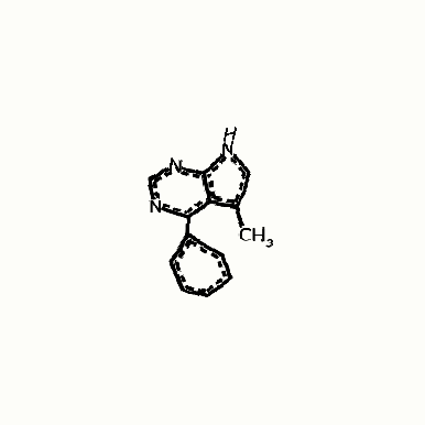 Cc1c[nH]c2ncnc(-c3ccccc3)c12